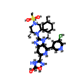 CC1CN(S(C)(=O)=O)C[C@@H](C)N1c1nc2cc(-c3noc(=O)[nH]3)nc(-c3cncc(Cl)c3)c2n1C[C@H]1CC[C@H](C)CC1